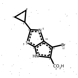 O=C(O)c1[nH]c2sc(C3CC3)nc2c1Br